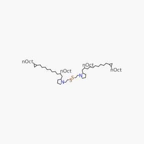 CCCCCCCCC(CCCCCCCCC1CC1CCCCCCCC)CC1CCCN1CCSSCCN1CCCC1CC(CCCCCCCC)CCCCCCCCC1CC1CCCCCCCC